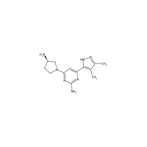 Cc1n[nH]c(-c2cc(N3CC[C@@H](N)C3)nc(N)n2)c1C